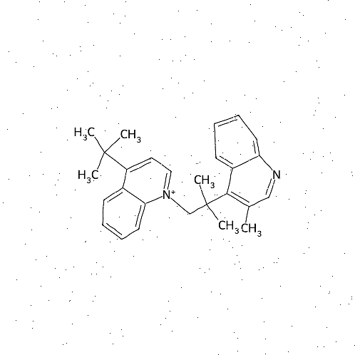 Cc1cnc2ccccc2c1C(C)(C)C[n+]1ccc(C(C)(C)C)c2ccccc21